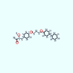 CO[C@@H](Cc1ccc(OCCCOc2ccc(-c3ccccc3)cc2)cc1)C(C)=O